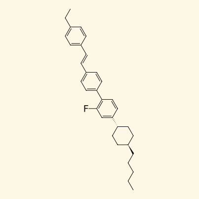 CCCCC[C@H]1CC[C@H](c2ccc(-c3ccc(C=Cc4ccc(CC)cc4)cc3)c(F)c2)CC1